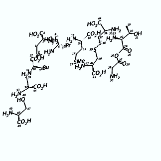 CC(C)C[C@H](N)C(=O)O.CC(C)[C@H](N)C(=O)O.CC[C@H](C)[C@H](N)C(=O)O.CSCC[C@H](N)C(=O)O.C[C@@H](O)[C@H](N)C(=O)OC(=O)CN.C[C@H](N)C(=O)O.NC(CSSC[C@H](N)C(=O)O)C(=O)O.N[C@@H](CO)C(=O)O